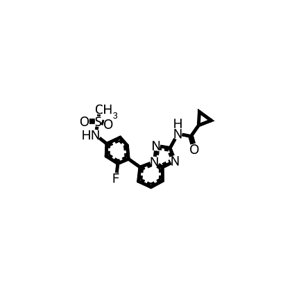 CS(=O)(=O)Nc1ccc(-c2cccc3nc(NC(=O)C4CC4)nn23)c(F)c1